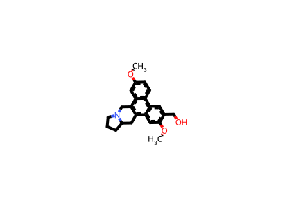 COc1ccc2c(c1)c1c(c3cc(OC)c(CO)cc32)CC2CCCN2C1